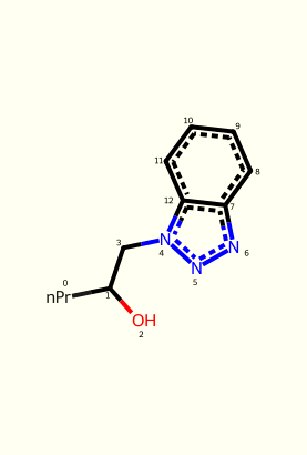 CCCC(O)Cn1nnc2ccccc21